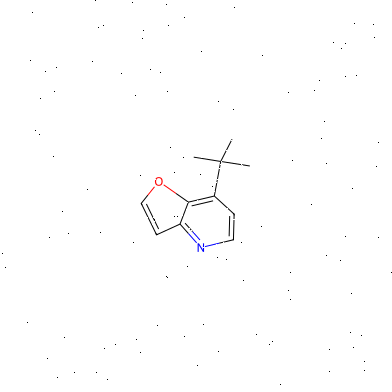 CC(C)(C)c1ccnc2ccoc12